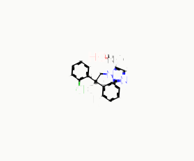 CC(Cn1ccnc1)(c1ccccc1)c1ccccc1Cl.O=[N+]([O-])O